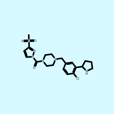 CS(=O)(=O)c1ccn(C(=O)N2CCN(Cc3ccc(Cl)c(C4CCCN4)c3)CC2)n1